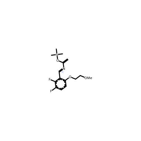 C=C(/N=C/c1c(OCCOC)ccc(F)c1F)O[Si](C)(C)C